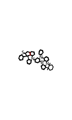 CC12CCCCC1(C)N1c3cccc4c3B(c3ccc(N(c5ccccc5)c5ccccc5-c5cccc6sc7ccccc7c56)cc3N4c3ccccc3)c3cccc2c31